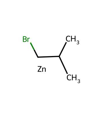 CC(C)CBr.[Zn]